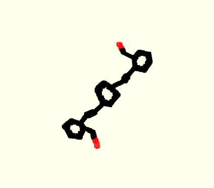 O=Cc1ccccc1C#Cc1ccc(C#Cc2ccccc2C=O)cc1